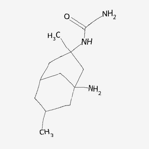 CC1CC2CC(N)(C1)CC(C)(NC(N)=O)C2